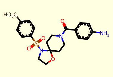 Nc1ccc(C(=O)N2CCC3(CC2)OCCN3S(=O)(=O)c2ccc(C(=O)O)cc2)cc1